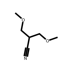 COCC(C#N)COC